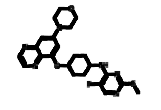 CSc1ncc(F)c(NC2CCC(Oc3cc(N4CCOCC4)cc4nccnc34)CC2)n1